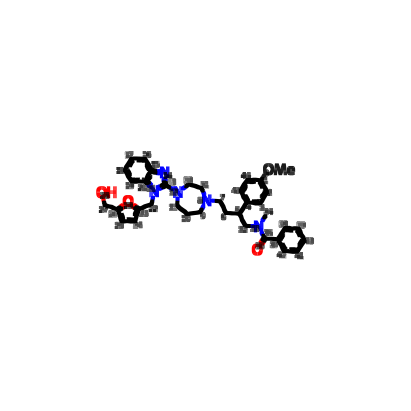 COc1ccc(C(CCN2CCCN(c3nc4ccccc4n3Cc3ccc(CO)o3)CC2)CN(C)C(=O)c2ccccc2)cc1